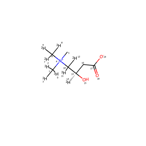 [2H]C([2H])([2H])[N+](C)(C([2H])([2H])[2H])C([2H])([2H])[C@]([2H])(O)CC(=O)[O-]